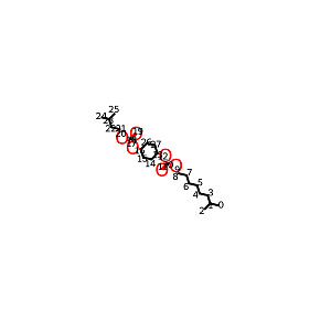 CC(C)CCCCCCOC(=O)OC1CCC(OC(=O)OCCC(C)C)CC1